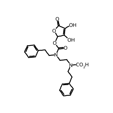 O=C1OC(OC(=O)N(CCc2ccccc2)CCN(CCc2ccccc2)C(=O)O)C(O)=C1O